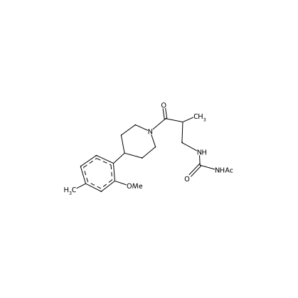 COc1cc(C)ccc1C1CCN(C(=O)C(C)CNC(=O)NC(C)=O)CC1